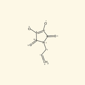 C=CCN1C(=O)C(Cl)=C(Cl)C1=O